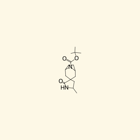 CC1CC2(CC3CCC(C2)N3C(=O)OC(C)(C)C)C(=O)N1